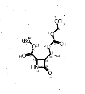 C[C@@H](OC(=O)OCC(Cl)(Cl)Cl)C1C(=O)NC1C(=O)OC(C)(C)C